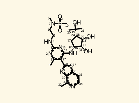 Cc1nc(NCCN(C)S(C)(=O)=O)nc(N[C@@H]2C[C@H](C(C)(C)O)[C@@H](O)[C@H]2O)c1-c1nc2c(C)nccc2s1